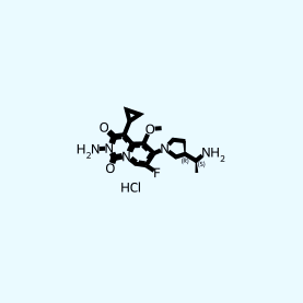 COc1c(N2CC[C@@H]([C@H](C)N)C2)c(F)cn2c(=O)n(N)c(=O)c(C3CC3)c12.Cl